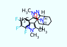 Cc1nn(C)c(C)c1C(=O)N1[C@H]2CCC[C@@H]1c1nn(C)c(-c3cc(F)c(F)c(F)c3)c1C2